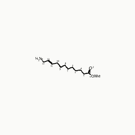 COC(=O)CCCCCCCC/C=C/CN